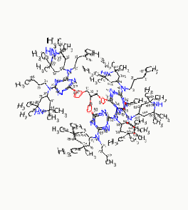 CCCCN(c1nc(OCC(COc2nc(N(CCCC)C3CC(C)(C)NC(C)(C)C3)nc(N(CCCC)C3CC(C)(C)NC(C)(C)C3)n2)Oc2nc(N(CCCC)C3CC(C)(C)CC(C)(C)C3)nc(N(CCCC)C3CC(C)(C)CC(C)(C)C3)n2)nc(N(CCCC)C2CC(C)(C)NC(C)(C)C2)n1)C1CC(C)(C)NC(C)(C)C1